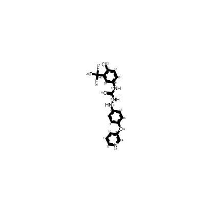 O=C(NNc1ccc(Oc2cccnc2)cc1)Nc1ccc(Cl)c(C(F)(F)F)c1